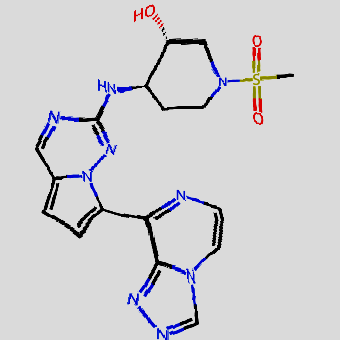 CS(=O)(=O)N1CC[C@@H](Nc2ncc3ccc(-c4nccn5cnnc45)n3n2)[C@H](O)C1